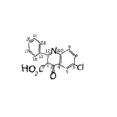 O=C(O)C1C(=O)c2cc(Cl)ccc2N=C1c1ccccc1